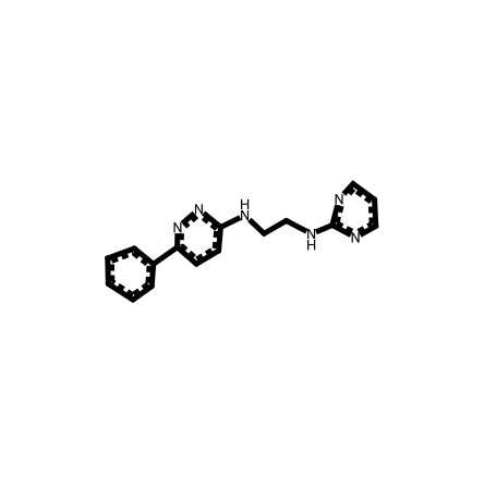 c1ccc(-c2ccc(NCCNc3ncccn3)nn2)cc1